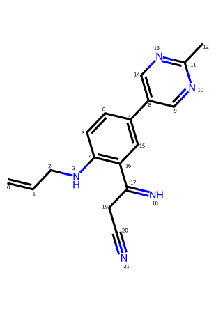 C=CCNc1ccc(-c2cnc(C)nc2)cc1C(=N)CC#N